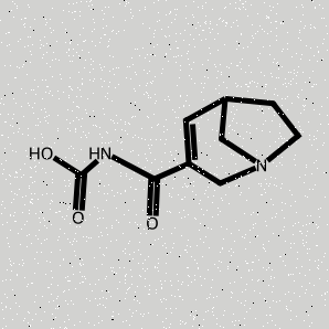 O=C(O)NC(=O)C1=CC2CCN(C1)C2